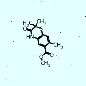 COC(=O)c1cc2c(cc1C)SC(C)(C)C(=O)N2